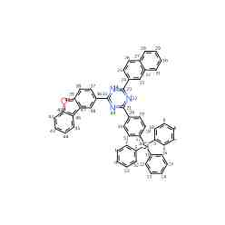 c1ccc([Si](c2ccccc2)(c2ccccc2)c2ccc(-c3nc(-c4ccc5ccccc5c4)nc(-c4ccc5oc6ccccc6c5c4)n3)cc2)cc1